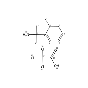 Cc1ccccc1C(C)(C)N.O=C(O)C(Cl)(Cl)Cl